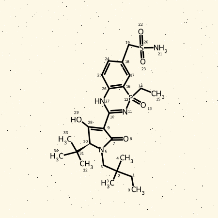 CCC(C)(C)CN1C(=O)C(C2=NP(=O)(CC)c3cc(CS(N)(=O)=O)ccc3N2)=C(O)[C@@H]1C(C)(C)C